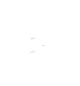 Cl.ClC(Cl)(Cl)c1ccccn1